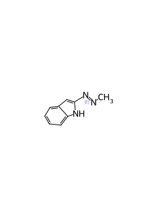 C/N=N/c1cc2ccccc2[nH]1